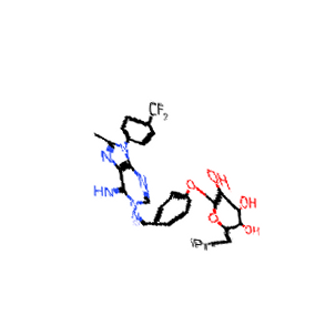 Cc1nc2c(=N)n(/N=C\c3ccc(OC4OC(CC(C)C)C(O)C(O)C4O)cc3)cnc2n1-c1ccc(C(F)(F)F)cc1